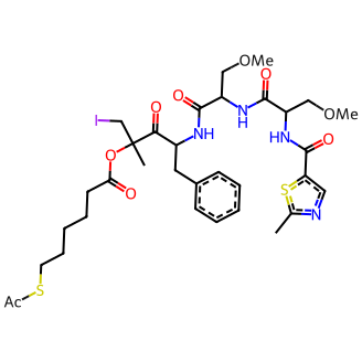 COCC(NC(=O)c1cnc(C)s1)C(=O)NC(COC)C(=O)NC(Cc1ccccc1)C(=O)C(C)(CI)OC(=O)CCCCCSC(C)=O